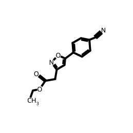 CCOC(=O)Cc1cc(-c2ccc(C#N)cc2)on1